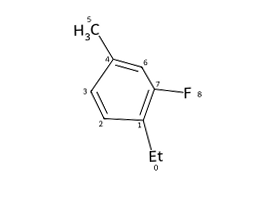 CCc1ccc(C)cc1F